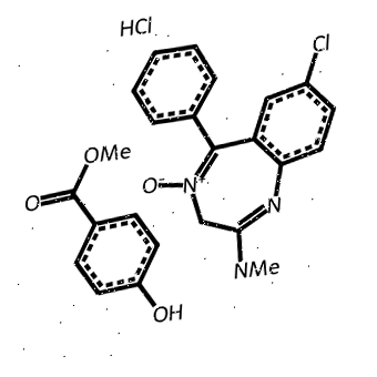 CNC1=Nc2ccc(Cl)cc2C(c2ccccc2)=[N+]([O-])C1.COC(=O)c1ccc(O)cc1.Cl